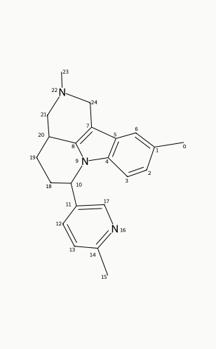 Cc1ccc2c(c1)c1c3n2C(c2ccc(C)nc2)CCC3CN(C)C1